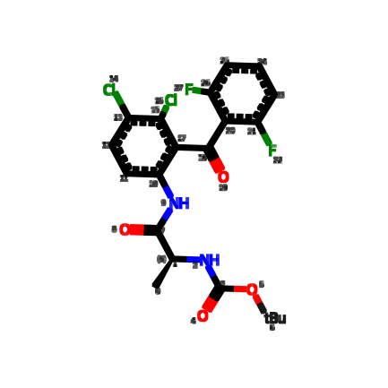 C[C@H](NC(=O)OC(C)(C)C)C(=O)Nc1ccc(Cl)c(Cl)c1C(=O)c1c(F)cccc1F